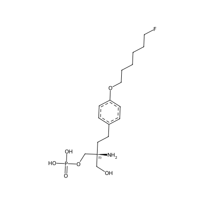 N[C@](CO)(CCc1ccc(OCCCCCCF)cc1)COP(=O)(O)O